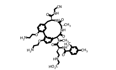 Cc1ccc(C(=O)N[C@@H](CCNCC(=O)O)C(=O)N(C)[C@@H]2C(=O)N[C@@H](C)C(=O)N[C@H](C(=O)NCC#N)Cc3ccc(OCCN)c(c3)-c3cc2ccc3OCCN)c(C)c1